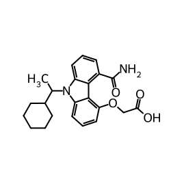 CC(C1CCCCC1)n1c2cccc(OCC(=O)O)c2c2c(C(N)=O)cccc21